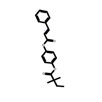 CCC(C)(C)C(=O)Oc1ccc(OC(=O)/C=C/c2ccccc2)cc1